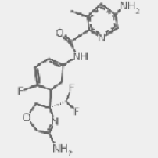 Cc1cc(N)cnc1C(=O)NC1=CC=C(F)C([C@]2(C(F)F)COCC(N)=N2)C1